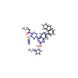 C=CC(=O)N1CCN(c2nc(OC[C@@H]3CCCN3C)nc3c(F)c(-c4cccc5c4C4CCCC4C5)ncc23)C[C@@H]1CC#N